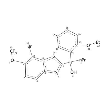 CCCC(O)(c1nc2ccc(OC(F)(F)F)c(Br)c2s1)c1cnccc1OCC